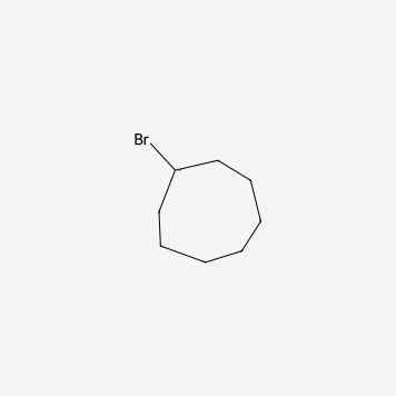 Br[C]1CCCCCCC1